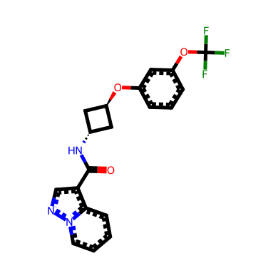 O=C(N[C@H]1C[C@H](Oc2cccc(OC(F)(F)F)c2)C1)c1cnn2ccccc12